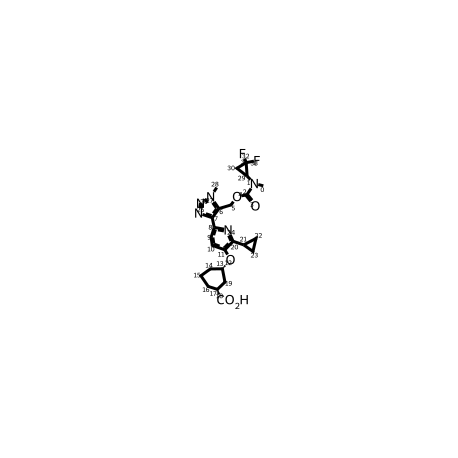 CN(C(=O)OCc1c(-c2ccc(O[C@H]3CCC[C@H](C(=O)O)C3)c(C3CC3)n2)nnn1C)C1CC1(F)F